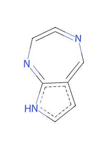 C1=CN=c2[nH]ccc2=CN=1